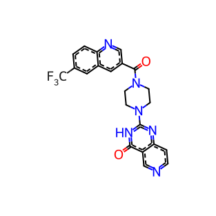 O=C(c1cnc2ccc(C(F)(F)F)cc2c1)N1CCN(c2nc3ccncc3c(=O)[nH]2)CC1